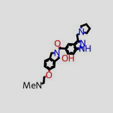 CNCCOc1ccc2c(c1)CN(C(=O)c1cc3c(CN4CCCC4)n[nH]c3cc1O)C2